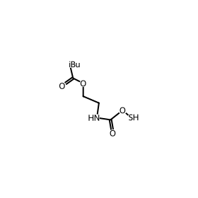 CCC(C)C(=O)OCCNC(=O)OS